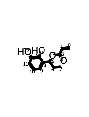 C=CC(=O)OC(CC)c1cccc(O)c1O